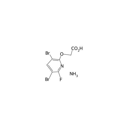 N.O=C(O)COc1nc(F)c(Br)cc1Br